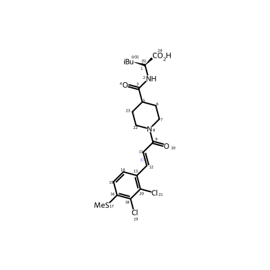 CC[C@H](C)[C@H](NC(=O)C1CCN(C(=O)/C=C/c2ccc(SC)c(Cl)c2Cl)CC1)C(=O)O